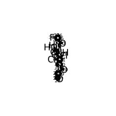 O=C(NC[C@H](NC(=O)c1c(Cl)cc2c(c1Cl)CCN(C(=O)c1ccc3ccoc3c1)C2)C(=O)O)c1cccc(F)c1